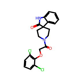 O=C(COc1c(Cl)cccc1Cl)N1CCC2(CC1)C(=O)Nc1ccccc12